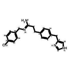 NC(CCc1ccc(Cc2c[nH]cn2)cc1)=NCc1ccc(Cl)cc1